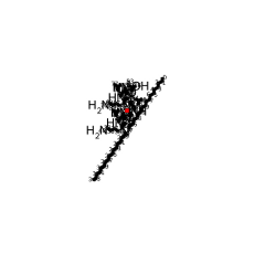 CCCCCCCCCCCCCCCCCCN(CCCCCCCCCCCCCCCC)[C@@H](CCCCN)C(=O)N[C@@H](CC(C)C)C(=O)N[C@@H](C)C(=O)N[C@@H](CC(C)C)C(=O)N[C@@H](CCCCN)C(=O)N[C@@H](CC(C)C)C(=O)N[C@@H](C)C(=O)O